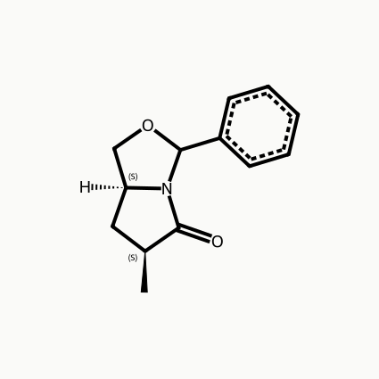 C[C@H]1C[C@H]2COC(c3ccccc3)N2C1=O